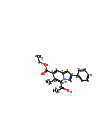 CCOC(=O)c1cc2cc(-c3ccccc3)cn2c(C(C)=O)c1C